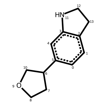 c1cc2c(cc1C1CCOC1)NCC2